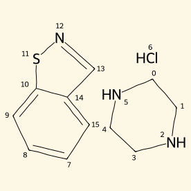 C1CNCCN1.Cl.c1ccc2sncc2c1